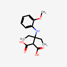 CCC(CC)(Nc1ccccc1OC)C(C(=O)O)C(=O)O